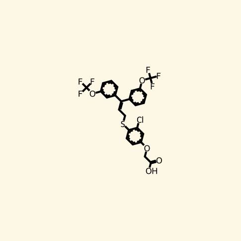 O=C(O)COc1ccc(SCC=C(c2cccc(OC(F)(F)F)c2)c2cccc(OC(F)(F)F)c2)c(Cl)c1